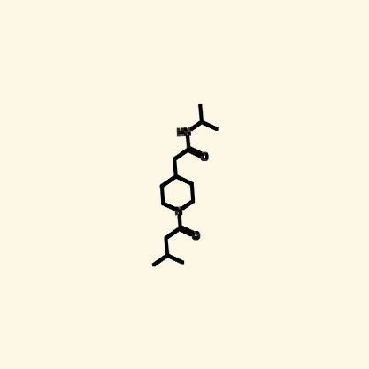 CC(C)CC(=O)N1CCC(CC(=O)NC(C)C)CC1